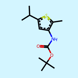 Cc1sc(C(C)C)cc1NC(=O)OC(C)(C)C